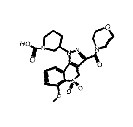 COc1cccc2c1S(=O)(=O)Cc1c(C(=O)N3CCOCC3)nn(C3CCCN(C(=O)O)C3)c1-2